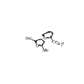 CCCCc1ccc(C=O)o1.O=C(O)c1ccco1